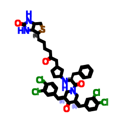 O=C(CCCC[C@@H]1SCC2NC(=O)NC21)CC1CCC(N[C@@H](Cc2ccccc2)C(=O)N2C/C(=C\c3ccc(Cl)c(Cl)c3)C(=O)/C(=C/c3ccc(Cl)c(Cl)c3)C2)C1